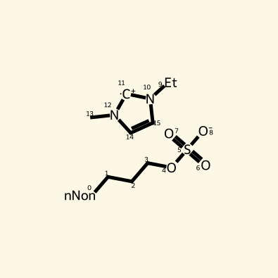 CCCCCCCCCCCCOS(=O)(=O)[O-].CCN1[C+]N(C)C=C1